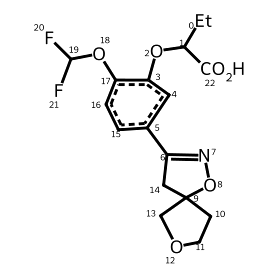 CCC(Oc1cc(C2=NOC3(CCOC3)C2)ccc1OC(F)F)C(=O)O